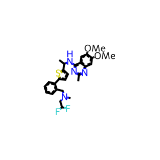 COc1cc2nc(C)nc(NC(C)c3ccc(-c4ccccc4CN(C)CC(F)F)s3)c2cc1OC